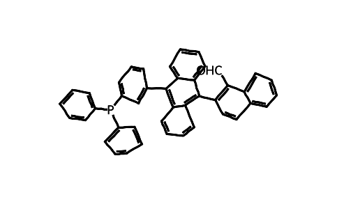 O=Cc1c(-c2c3ccccc3c(-c3cccc(P(c4ccccc4)c4ccccc4)c3)c3ccccc23)ccc2ccccc12